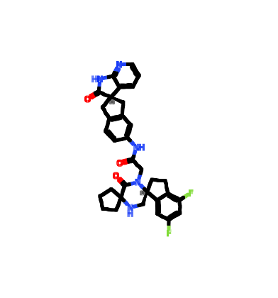 O=C(CN1C(=O)C2(CCCC2)NC[C@]12CCc1c(F)cc(F)cc12)Nc1ccc2c(c1)C[C@@]1(C2)C(=O)Nc2ncccc21